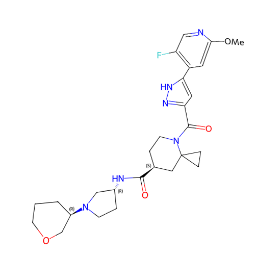 COc1cc(-c2cc(C(=O)N3CC[C@H](C(=O)N[C@@H]4CCN([C@@H]5CCCOC5)C4)CC34CC4)n[nH]2)c(F)cn1